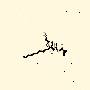 C=C(C)C(=O)ONC(=O)C(CC)(CCCCCCCCCC)OCCCO